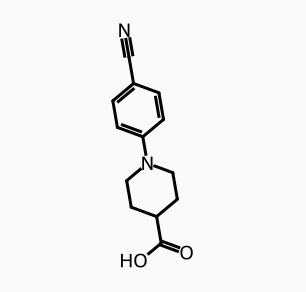 N#Cc1ccc(N2CCC(C(=O)O)CC2)cc1